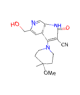 COC1(C)CCN(c2c(C#N)c(=O)[nH]c3cnc(CO)cc23)CC1